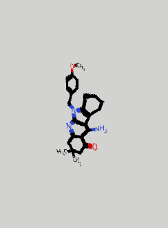 COc1ccc(Cn2c3c(c4c(N)c5c(nc42)CC(C)(C)CC5=O)CCCC3)cc1